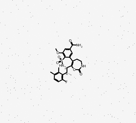 COc1cc(C(N)=O)cc2c1S(=O)(=O)N[C@@H]([C@H](C)c1c(F)ccc(C)c1C)C1=C2CCNC(=O)O1